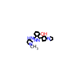 CN1CCC[C@@H](Nc2nnc(-c3ccc(N4CCCC4)cc3O)c3ccccc23)C1